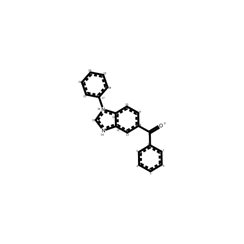 O=C(c1ccccc1)c1ccc2c(c1)ncn2-c1ccccc1